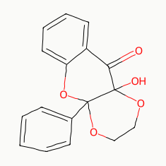 O=C1c2ccccc2OC2(c3ccccc3)OCCOC12O